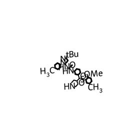 COc1ccc(C)cc1S(=O)(=O)C(c1cccc(NC(=O)Nc2cc(C(C)(C)C)nn2-c2ccc(C)cc2)c1)C1CCNCC1